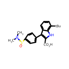 CN(C)[S+]([O-])c1ccc(-c2c(C(=O)O)[nH]c3c(C(C)(C)C)cccc23)cc1